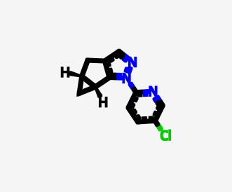 Clc1ccc(-n2ncc3c2[C@@H]2C[C@@H]2C3)nc1